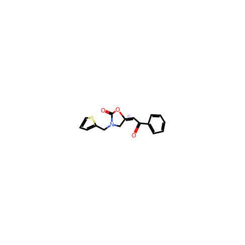 O=C(/C=C1\CN(Cc2cccs2)C(=O)O1)c1ccccc1